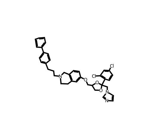 Clc1ccc(C2(Cn3ccnc3)OCC(COc3ccc4c(c3)CCN(CCCc3ccc(-c5ccccc5)cc3)C4)O2)c(Cl)c1